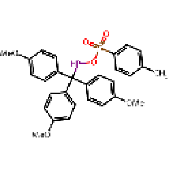 COc1ccc(C(POS(=O)(=O)c2ccc(C)cc2)(c2ccc(OC)cc2)c2ccc(OC)cc2)cc1